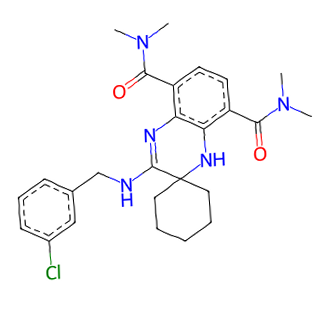 CN(C)C(=O)c1ccc(C(=O)N(C)C)c2c1N=C(NCc1cccc(Cl)c1)C1(CCCCC1)N2